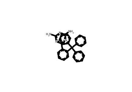 Nc1nc(N)nc(-c2ccccc2C(c2ccccc2)(c2ccccc2)c2ccccc2)n1